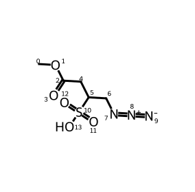 COC(=O)CC(CN=[N+]=[N-])S(=O)(=O)O